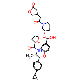 C[C@H](NC(=O)[C@H]1CCCO1)[C@H](Oc1ccc(C(O)O[C@H]2CCCN(C(=O)CC3COC(=O)C3)C2)cc1)c1ccc(C2CC2)cc1